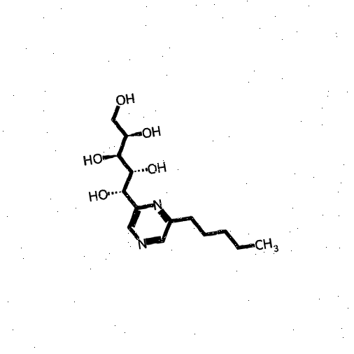 CCCCCc1cncc([C@H](O)[C@@H](O)[C@@H](O)[C@H](O)CO)n1